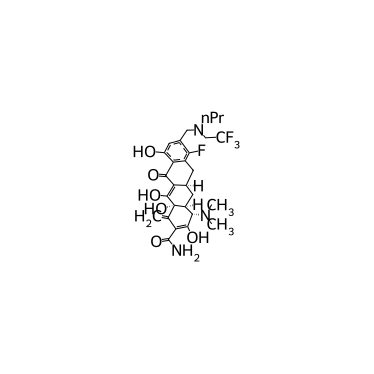 C=C1C(C(N)=O)=C(O)[C@@H](N(C)C)[C@@H]2C[C@@H]3Cc4c(F)c(CN(CCC)CC(F)(F)F)cc(O)c4C(=O)C3=C(O)[C@]12O